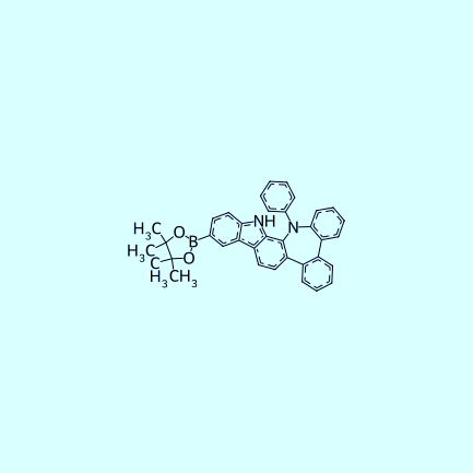 CC1(C)OB(c2ccc3[nH]c4c5c(ccc4c3c2)-c2ccccc2-c2ccccc2N5c2ccccc2)OC1(C)C